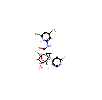 O=C(Nc1cc(C(F)(F)F)cc(Cl)n1)[C@]12C[C@@]1(c1ccnc(F)c1)[C@H]1O[C@@H]2C[C@@H]1O